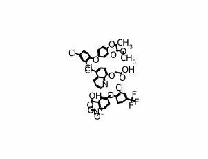 COC(=O)C(C)Oc1ccc(Oc2ccc(Cl)cc2Cl)cc1.O=C(O)COc1ccc(Cl)c2cccnc12.O=C(O)c1cc(Oc2ccc(C(F)(F)F)cc2Cl)ccc1[N+](=O)[O-]